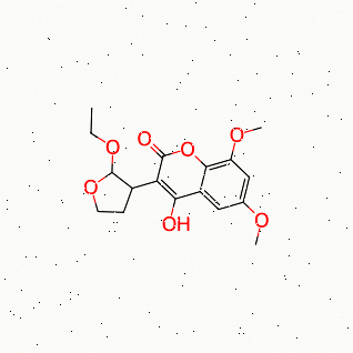 CCOC1OCCC1c1c(O)c2cc(OC)cc(OC)c2oc1=O